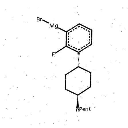 CCCCC[C@H]1CC[C@H](c2ccc[c]([Mg][Br])c2F)CC1